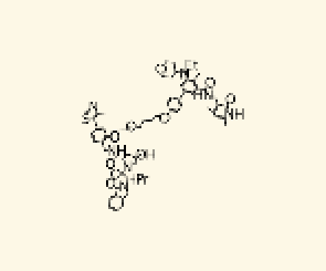 CCN(c1cc(-c2ccc(OCCCCOCCOc3cc(-c4scnc4C)ccc3CNC(=O)[C@@H]3C[C@@H](O)CN3C(=O)[C@H](C(C)C)N3Cc4ccccc4C3=O)cc2)cc(C(=O)NCc2c(C)cc(C)[nH]c2=O)c1C)C1CCOCC1